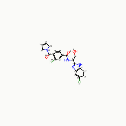 O=C(NC(CO)c1nc2cc(Cl)ccc2[nH]1)c1ccc(C(=O)N2CC=CC2)c(Br)c1